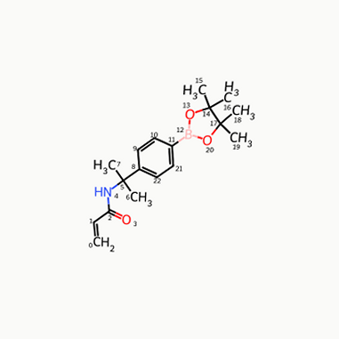 C=CC(=O)NC(C)(C)c1ccc(B2OC(C)(C)C(C)(C)O2)cc1